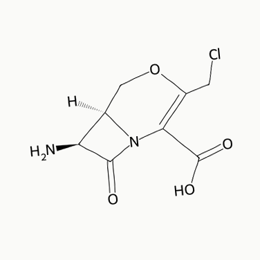 N[C@@H]1C(=O)N2C(C(=O)O)=C(CCl)OC[C@H]12